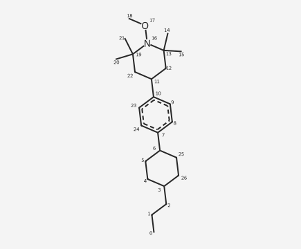 CCCC1CCC(c2ccc(C3CC(C)(C)N(OC)C(C)(C)C3)cc2)CC1